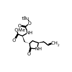 C=CC[C@@H]1C[C@@H](C[C@H](NC(=O)OC(C)(C)C)C(=O)OC)C(=O)N1